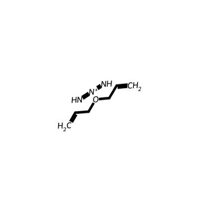 C=CCOCC=C.N=[N+]=N